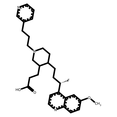 COc1ccc2nccc([C@@H](F)CCC3CCN(CCCc4cccnc4)CC3CCC(=O)O)c2c1